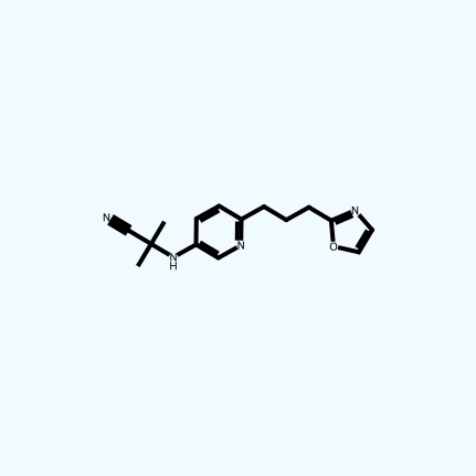 CC(C)(C#N)Nc1ccc(CCCc2ncco2)nc1